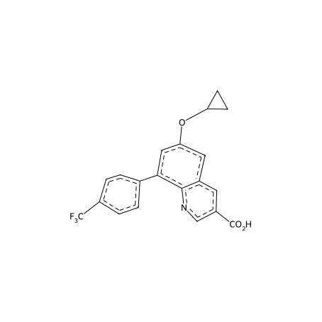 O=C(O)c1cnc2c(-c3ccc(C(F)(F)F)cc3)cc(OC3CC3)cc2c1